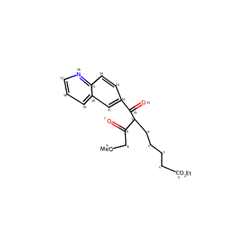 CCOC(=O)CCCCC(C(=O)COC)C(=O)c1ccc2ncccc2c1